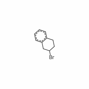 BrC1CCc2ccccc2C1